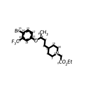 CCOC(=O)CN1CCC(CC[C@H](C)Oc2ccc(Br)c(C(F)(F)F)c2)CC1